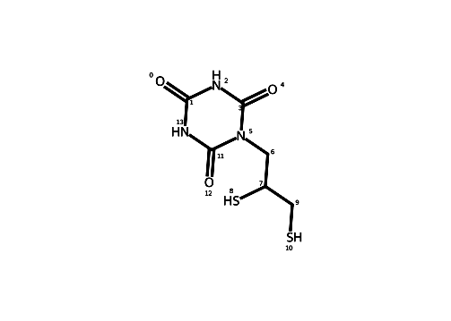 O=c1[nH]c(=O)n(CC(S)CS)c(=O)[nH]1